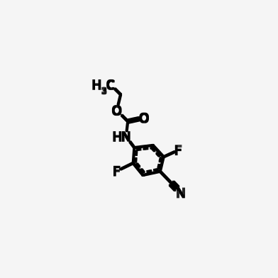 CCOC(=O)Nc1cc(F)c(C#N)cc1F